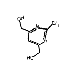 Cc1nc(CO)cc(CO)n1